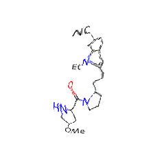 CCn1c(CCC2CCCN2C(=O)C2CC(OC)CN2)cc2ccc(C#N)cc21